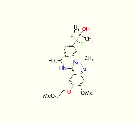 COCCOc1cc2c(NC(C)c3ccc(C(F)(F)C(C)(C)O)cc3)nc(C)nc2cc1OC